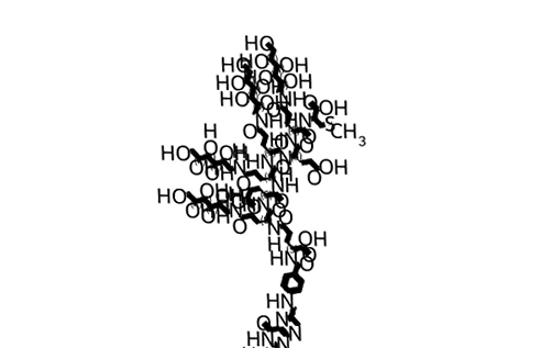 CSCC(NC(=O)[C@H](CCC(=O)NC[C@H](O)[C@@H](O)[C@H](O)[C@H](O)CO)NC(=O)[C@H](CCC(=O)O)NC(=O)[C@H](CCC(=O)NC[C@H](O)[C@@H](O)[C@H](O)[C@H](O)CO)NC(=O)[C@H](CCC(=O)NC[C@H](O)[C@@H](O)[C@H](O)[C@H](O)CO)NC(=O)[C@H](CCC(=O)O)NC(=O)[C@H](CCC(=O)NC[C@H](O)[C@@H](O)[C@H](O)[C@H](O)CO)NC(=O)CC[C@H](NC(=O)c1ccc(NCc2cnc3nc(N)[nH]c(=O)c3n2)cc1)C(=O)O)C(=O)O